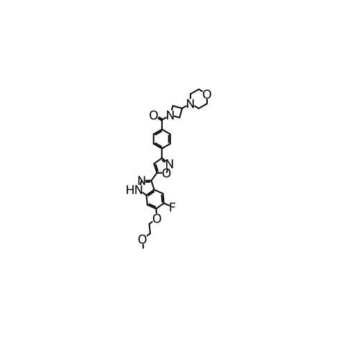 COCCOc1cc2[nH]nc(-c3cc(-c4ccc(C(=O)N5CC(N6CCOCC6)C5)cc4)no3)c2cc1F